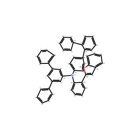 c1ccc(-c2cc(-c3ccccc3)cc(N(c3ccc(-c4ccccc4-c4ccccc4)cc3)c3ccccc3-c3cc4ccccc4o3)c2)cc1